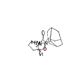 NC(=O)C12CC3CC(C1)C(N1C[C@@H]4CCCN4C1=O)C(C3)C2